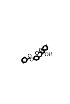 O=C(Oc1ccc(Cc2c(O)c3ccccc3oc2=O)cc1)c1ccccc1